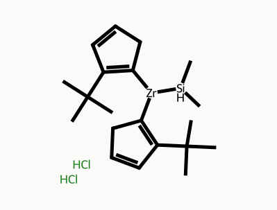 C[SiH](C)[Zr]([C]1=C(C(C)(C)C)C=CC1)[C]1=C(C(C)(C)C)C=CC1.Cl.Cl